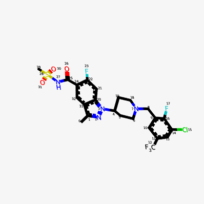 Cc1nn(C2CCN(Cc3cc(C(F)(F)F)cc(Cl)c3F)CC2)c2cc(F)c(C(=O)NS(C)(=O)=O)cc12